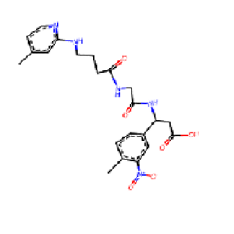 Cc1ccnc(NCCCC(=O)NCC(=O)NC(CC(=O)O)c2ccc(C)c([N+](=O)[O-])c2)c1